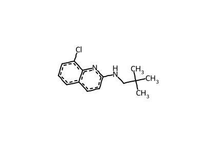 CC(C)(C)CNc1ccc2cccc(Cl)c2n1